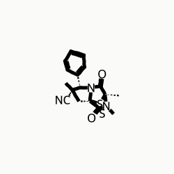 CN1C(=O)[C@@]23C[C@](C)(C#N)[C@H](c4ccccc4)N2C(=O)[C@]1(C)S3=S